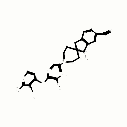 N#Cc1ccc2c(c1)[C@@H](N)C1(CCN(c3cnc(Sc4ccnc(N)c4Cl)c(N)n3)CC1)C2